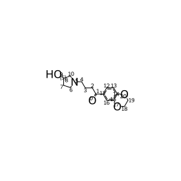 O=C(CCCN1CC[C@H](O)C1)c1ccc2c(c1)OCCO2